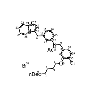 CCCCCCCCCCCCCCOc1cc(CN(C(C)=O)c2cccc(CC3=N[C+]=C4C=CC=CN43)c2)ccc1Cl.[Br-]